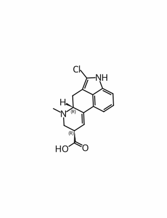 CN1C[C@H](C(=O)O)C=C2c3cccc4[nH]c(Cl)c(c34)C[C@H]21